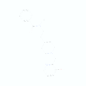 CN(CCC1CCN(Cc2ncccc2O)CC1)C(=O)c1ccccc1